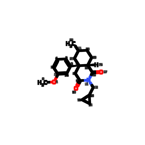 COc1cccc([C@@]23CC(=O)N(CC4CC4)C(=O)[C@H]2CCC(C)C3)c1